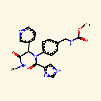 CC(C)NC(=O)C(c1cccnc1)N(C(=O)c1c[nH]cn1)c1ccc(CNC(=O)OC(C)(C)C)cc1